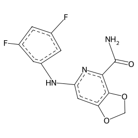 NC(=O)c1nc(Nc2cc(F)cc(F)c2)cc2c1OCO2